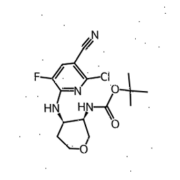 CC(C)(C)OC(=O)N[C@H]1COCC[C@H]1Nc1nc(Cl)c(C#N)cc1F